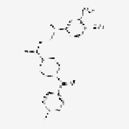 CCC(CCC(C)c1ccc(OC)c(OC)c1)N1CCC(C(=O)c2ccc(F)cc2)CC1